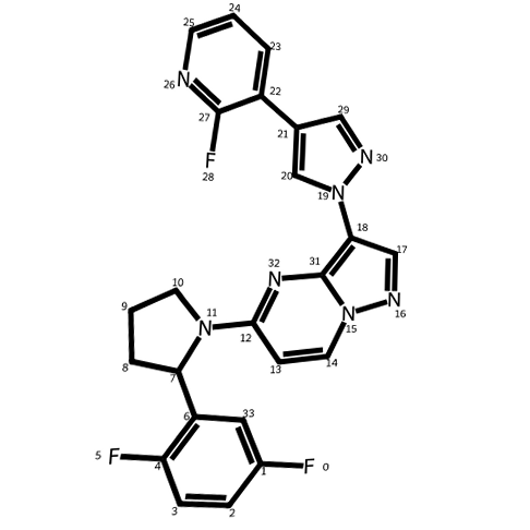 Fc1ccc(F)c(C2CCCN2c2ccn3ncc(-n4cc(-c5cccnc5F)cn4)c3n2)c1